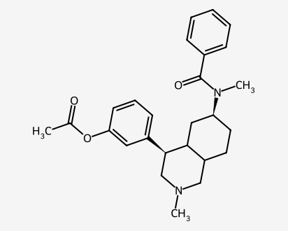 CC(=O)Oc1cccc([C@@H]2CN(C)CC3CC[C@H](N(C)C(=O)c4ccccc4)CC32)c1